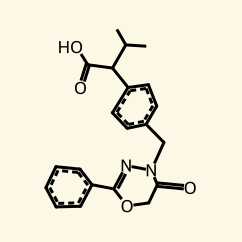 CC(C)C(C(=O)O)c1ccc(CN2N=C(c3ccccc3)OCC2=O)cc1